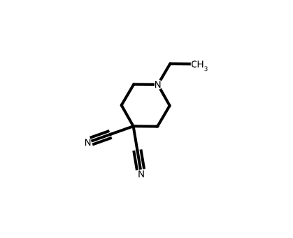 CCN1CCC(C#N)(C#N)CC1